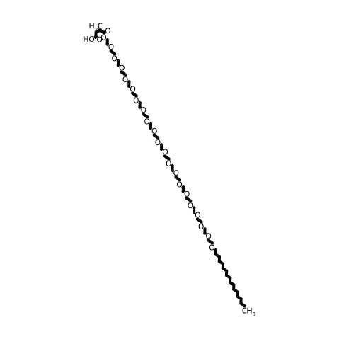 C=C(CC(=O)O)C(=O)OCCOCCOCCOCCOCCOCCOCCOCCOCCOCCOCCOCCOCCOCCOCCOCCOCCOCCOCCOCCOCCCCCCCCCCCCCCCCCC